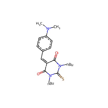 CCCCN1C(=O)C(=Cc2ccc(N(C)C)cc2)C(=O)N(CCCC)C1=S